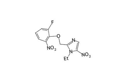 CCn1c([N+](=O)[O-])cnc1COc1c(F)cccc1[N+](=O)[O-]